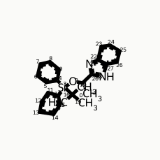 C[C@H](O[Si](c1ccccc1)(c1ccccc1)C(C)(C)C)c1nc2ccccc2[nH]1